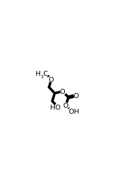 COCC(CO)OC(=O)OO